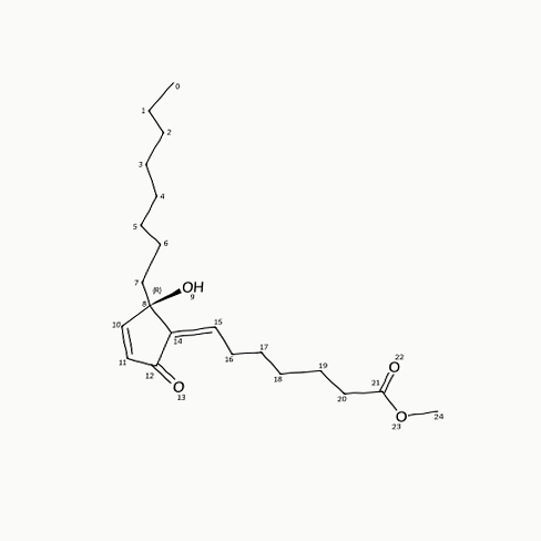 CCCCCCCC[C@@]1(O)C=CC(=O)C1=CCCCCCC(=O)OC